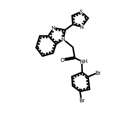 O=C(Cn1c(-c2cscn2)nc2ccccc21)Nc1ccc(Br)cc1Br